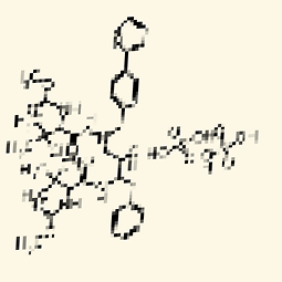 COC(=O)NC(C(=O)NC(Cc1ccccc1)C(O)CN(Cc1ccc(-c2ccccn2)cc1)NC(=O)C(NC(=O)OC)C(C)(C)C)C(C)(C)C.O=S(=O)(O)O.O=S(=O)(O)O